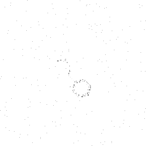 CCC[SiH](C)OCc1ccccc1